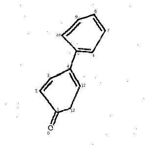 O=C1C=CC(c2ccccc2)=CC1